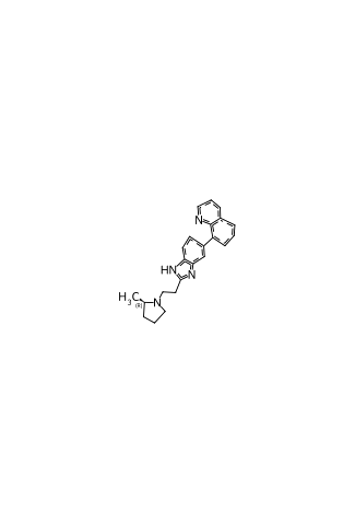 C[C@@H]1CCCN1CCc1nc2cc(-c3cccc4cccnc34)ccc2[nH]1